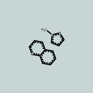 Cn1cccn1.c1ccc2ncccc2c1